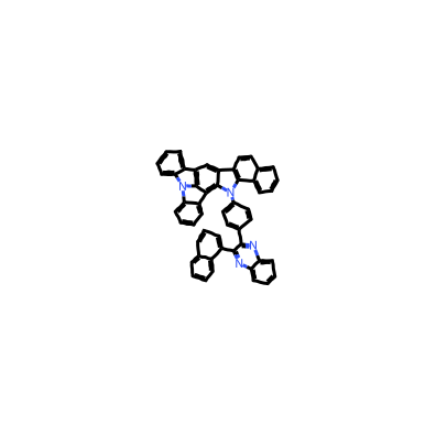 c1ccc2c(-c3nc4ccccc4nc3-c3ccc(-n4c5c6ccccc6ccc5c5cc6c7ccccc7n7c8ccccc8c(c54)c67)cc3)cccc2c1